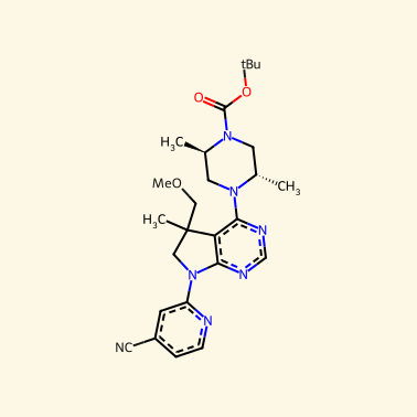 COCC1(C)CN(c2cc(C#N)ccn2)c2ncnc(N3C[C@@H](C)N(C(=O)OC(C)(C)C)C[C@@H]3C)c21